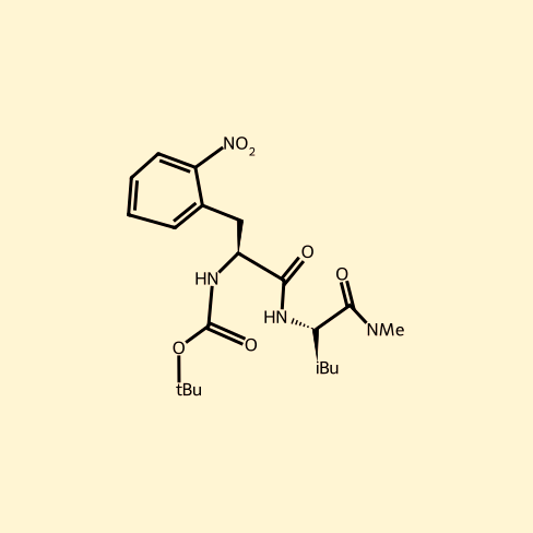 CC[C@H](C)[C@H](NC(=O)[C@H](Cc1ccccc1[N+](=O)[O-])NC(=O)OC(C)(C)C)C(=O)NC